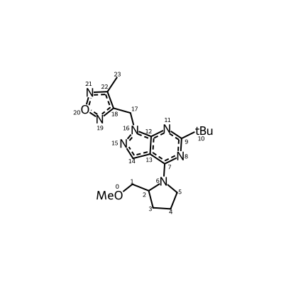 COCC1CCCN1c1nc(C(C)(C)C)nc2c1cnn2Cc1nonc1C